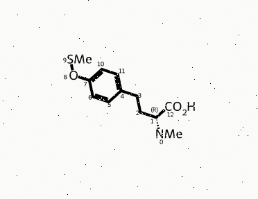 CN[C@H](CCc1ccc(OSC)cc1)C(=O)O